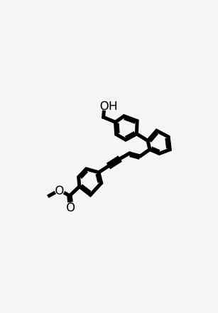 COC(=O)c1ccc(C#C/C=C/c2ccccc2-c2ccc(CO)cc2)cc1